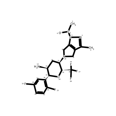 Cc1nn([S+](C)[O-])c2c1CN([C@@H]1C[C@H](N)[C@@H](c3cc(F)ccc3F)O[C@H]1C(F)(F)F)C2